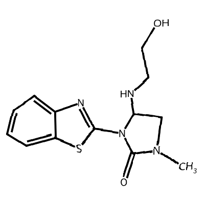 CN1CC(NCCO)N(c2nc3ccccc3s2)C1=O